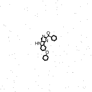 O=C(c1ccccc1)c1ncc2[nH]c3ccc(Oc4ccccc4)cc3c2n1